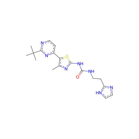 Cc1nc(NC(=O)NCCc2ncc[nH]2)sc1-c1ccnc(C(C)(C)C)n1